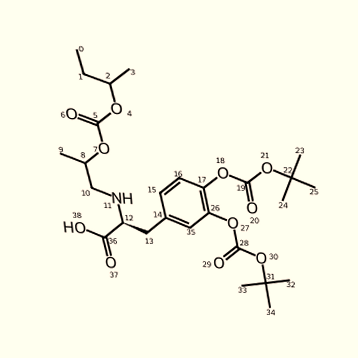 CCC(C)OC(=O)OC(C)CN[C@@H](Cc1ccc(OC(=O)OC(C)(C)C)c(OC(=O)OC(C)(C)C)c1)C(=O)O